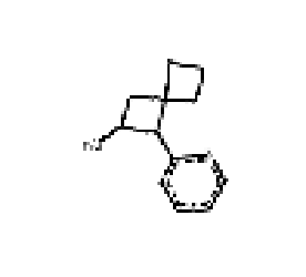 OC1CC2(CCC2)C1c1ccccn1